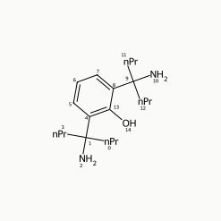 CCCC(N)(CCC)c1cccc(C(N)(CCC)CCC)c1O